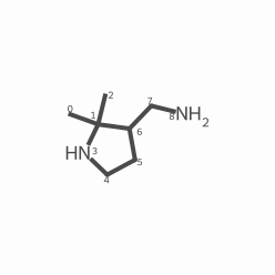 CC1(C)NCCC1CN